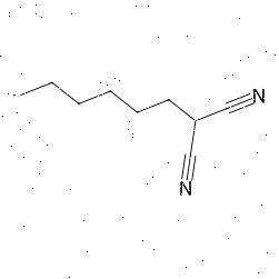 [CH2]CCCCCC(C#N)C#N